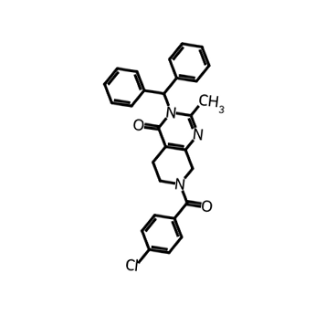 Cc1nc2c(c(=O)n1C(c1ccccc1)c1ccccc1)CCN(C(=O)c1ccc(Cl)cc1)C2